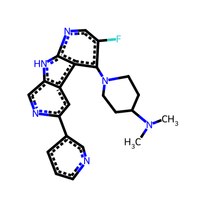 CN(C)C1CCN(c2c(F)cnc3[nH]c4cnc(-c5cccnc5)cc4c23)CC1